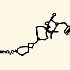 CCOC(=O)N1CCC2(CC(N3CCC4(CC3)OC(=O)N(CC#N)C4(C)C)C2)C1